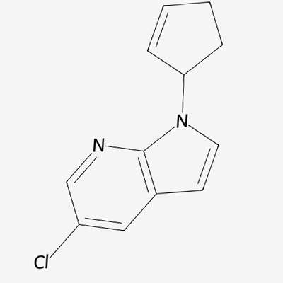 Clc1cnc2c(ccn2C2C=CCC2)c1